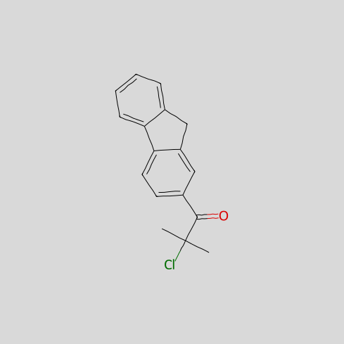 CC(C)(Cl)C(=O)c1ccc2c(c1)Cc1ccccc1-2